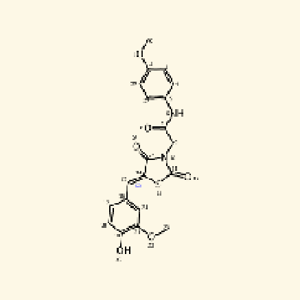 COc1ccc(NC(=O)CN2C(=O)S/C(=C\c3ccc(O)c(OC)c3)C2=O)cc1